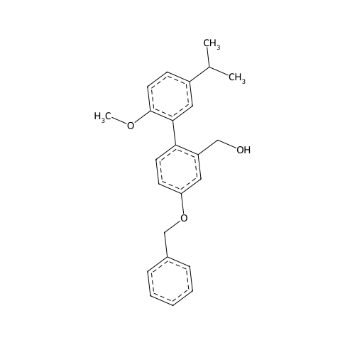 COc1ccc(C(C)C)cc1-c1ccc(OCc2ccccc2)cc1CO